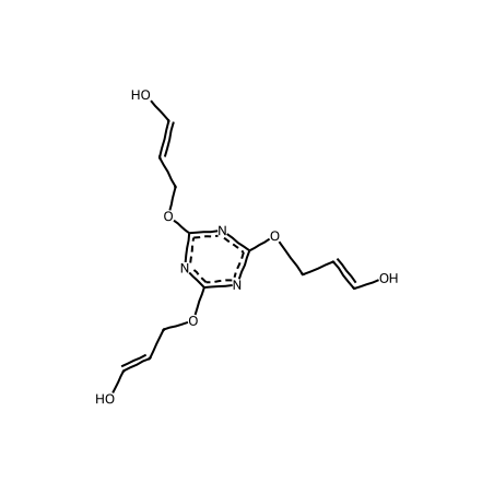 OC=CCOc1nc(OCC=CO)nc(OCC=CO)n1